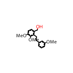 COc1cccc(CCc2c(CO)ccc(OC)c2OC)c1